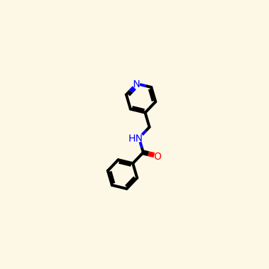 O=C(NCc1ccncc1)c1ccccc1